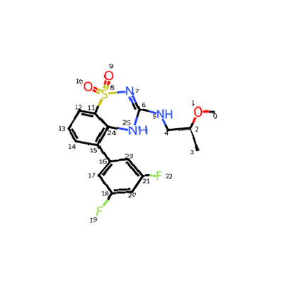 CO[C@@H](C)CNC1=NS(=O)(=O)c2cccc(-c3cc(F)cc(F)c3)c2N1